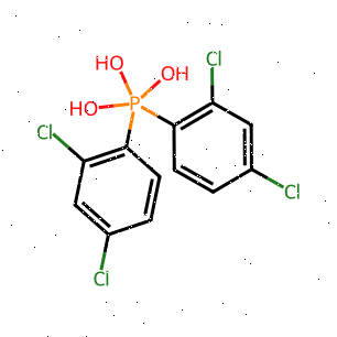 OP(O)(O)(c1ccc(Cl)cc1Cl)c1ccc(Cl)cc1Cl